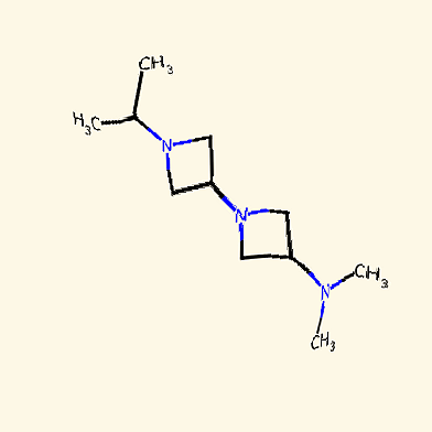 CC(C)N1CC(N2CC(N(C)C)C2)C1